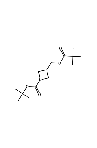 CC(C)(C)OC(=O)N1CC(COC(=O)C(C)(C)C)C1